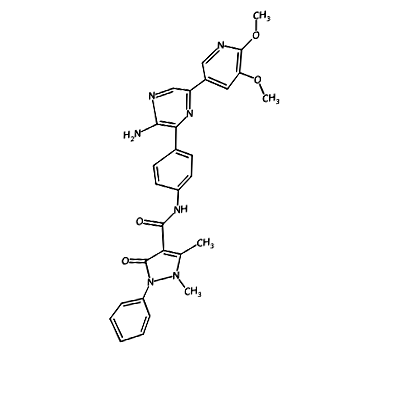 COc1cc(-c2cnc(N)c(-c3ccc(NC(=O)c4c(C)n(C)n(-c5ccccc5)c4=O)cc3)n2)cnc1OC